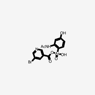 CC(=O)Nc1cc(O)ccc1[As](=O)(O)OC(=O)c1cncc(Br)c1